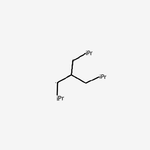 CC(C)[CH]C(CC(C)C)CC(C)C